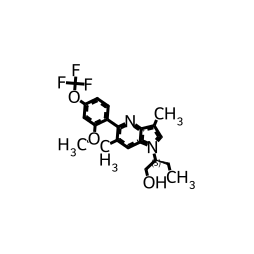 CC[C@@H](CO)n1cc(C)c2nc(-c3ccc(OC(F)(F)F)cc3OC)c(C)cc21